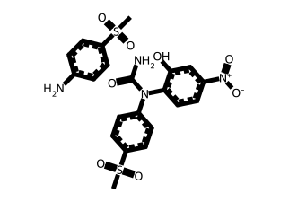 CS(=O)(=O)c1ccc(N(C(N)=O)c2ccc([N+](=O)[O-])cc2O)cc1.CS(=O)(=O)c1ccc(N)cc1